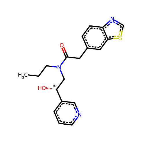 CCCN(C[C@@H](O)c1cccnc1)C(=O)Cc1ccc2ncsc2c1